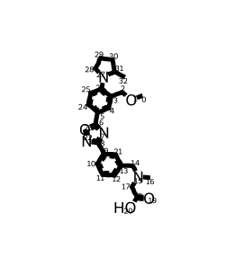 COCc1cc(-c2nc(-c3cccc(CN(C)CC(=O)O)c3)no2)ccc1N1CCCC1C